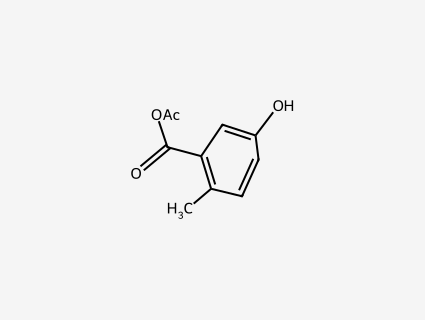 CC(=O)OC(=O)c1cc(O)ccc1C